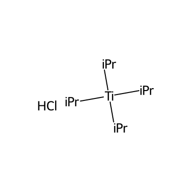 C[CH](C)[Ti]([CH](C)C)([CH](C)C)[CH](C)C.Cl